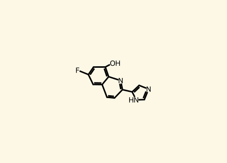 Oc1cc(F)cc2ccc(-c3cnc[nH]3)nc12